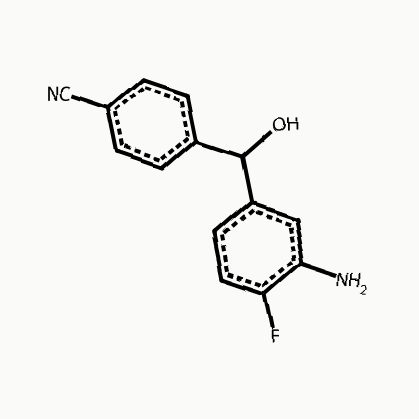 N#Cc1ccc(C(O)c2ccc(F)c(N)c2)cc1